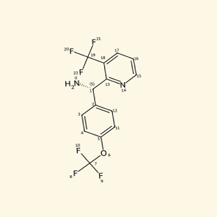 N[C@@H](c1ccc(OC(F)(F)F)cc1)c1ncccc1C(F)(F)F